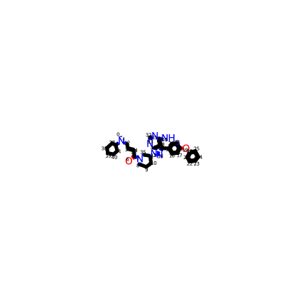 CN(C/C=C/C(=O)N1CCCC(n2nc(-c3ccc(Oc4ccccc4)cc3)c3c(N)ncnc32)C1)C1CCCCC1